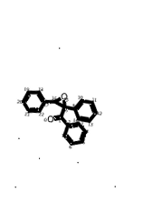 O=C(c1ccccc1)C1(c2ccccc2)OC1c1ccccc1